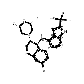 C[C@@H]1CN([C@H]2COc3cc(F)ccc3[C@@H]2Nc2ncnc3[nH]c(C(F)(F)F)cc23)C[C@H](C)O1